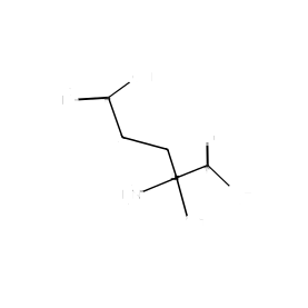 CCCC(N)(CCC(O)O)C(O)CC